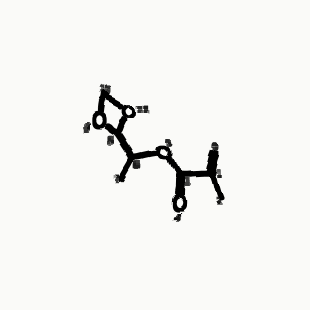 C=C(C)C(=O)OC(C)C1OCO1